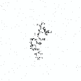 C/C=C(/C)C(C/C=C(\C)[C@@H](O)[C@H](O)C(=O)N1C(=O)OC[C@@H]1Cc1ccccc1)O[Si](C)(C)C(C)(C)C